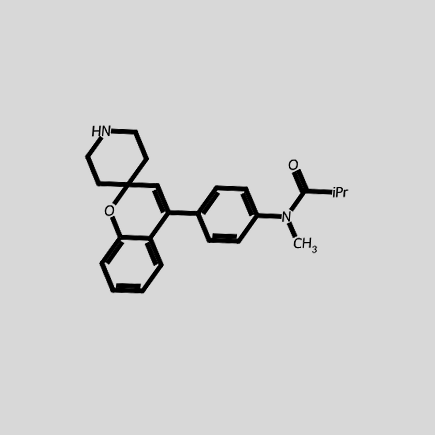 CC(C)C(=O)N(C)c1ccc(C2=CC3(CCNCC3)Oc3ccccc32)cc1